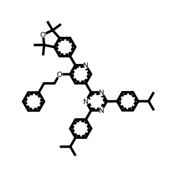 CC(C)c1ccc(-c2nc(-c3ccc(C(C)C)cc3)nc(-c3cnc(-c4ccc5c(c4)C(C)(C)OC5(C)C)c(OCCc4ccccc4)c3)n2)cc1